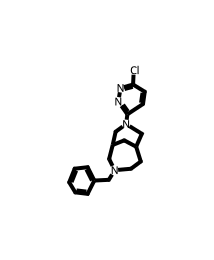 Clc1ccc(N2CC3CCN(Cc4ccccc4)CC(C3)C2)nn1